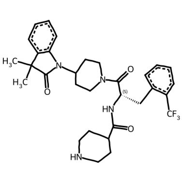 CC1(C)C(=O)N(C2CCN(C(=O)[C@H](Cc3ccccc3C(F)(F)F)NC(=O)C3CCNCC3)CC2)c2ccccc21